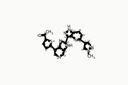 CC(=O)c1ccc(-c2cncc3[nH]c(-c4n[nH]c5ccc(-c6cnn(C)c6)nc45)nc23)s1